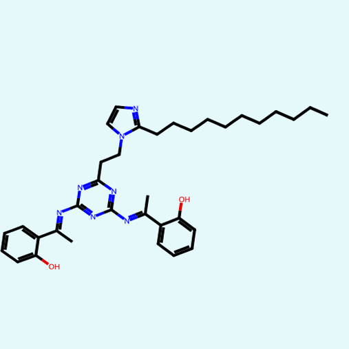 CCCCCCCCCCCc1nccn1CCc1nc(/N=C(\C)c2ccccc2O)nc(/N=C(\C)c2ccccc2O)n1